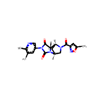 Cc1cc(C(=O)N2C[C@@H]3C[C@H]2[C@H]2C(=O)N(c4cnc(C#N)c(C)c4)C(=O)N32)no1